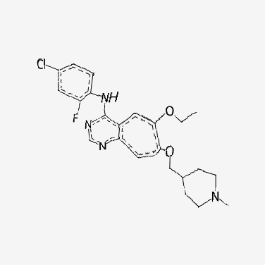 CCOc1cc2c(Nc3ccc(Cl)cc3F)ncnc2cc1OCC1CCN(C)CC1